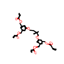 C=CC(=O)OCc1cc(COC(=O)C=C)cc(OCCC(C)(C)COc2cc(COC(=O)C=C)cc(COC(=O)C=C)c2)c1